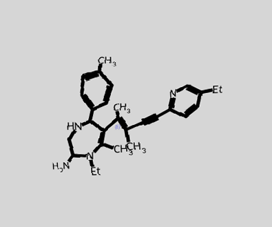 CCc1ccc(C#C/C(C)=C(\C)C2=C(C)N(CC)C(N)CNC2c2ccc(C)cc2)nc1